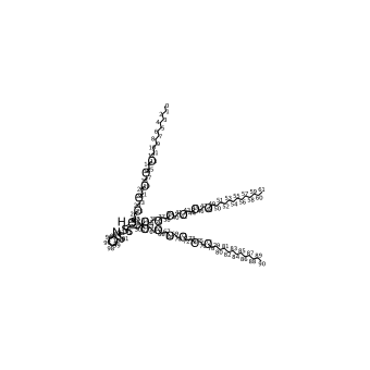 CCCCCCCCCCCCCOCCOCCOCCOCCOCCOC(CC([SiH3])(OCCOCCOCCOCCOCCOCCCCCCCCCCCCC)OCCOCCOCCOCCOCCOCCCCCCCCCCCCC)SSc1nc2ccccc2s1